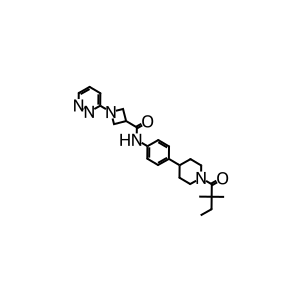 CCC(C)(C)C(=O)N1CCC(c2ccc(NC(=O)C3CN(c4cccnn4)C3)cc2)CC1